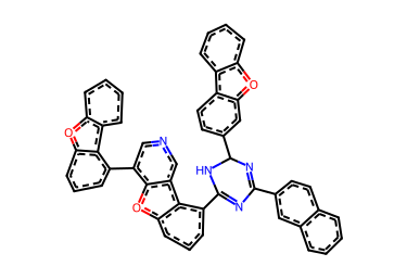 c1ccc2cc(C3=NC(c4ccc5c(c4)oc4ccccc45)NC(c4cccc5oc6c(-c7cccc8oc9ccccc9c78)cncc6c45)=N3)ccc2c1